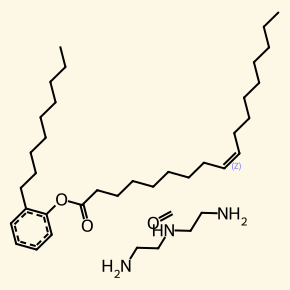 C=O.CCCCCCCC/C=C\CCCCCCCC(=O)Oc1ccccc1CCCCCCCCC.NCCNCCN